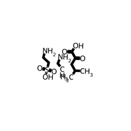 CC(C)CC(=O)C(=O)O.CCN.NCCS(=O)(=O)O